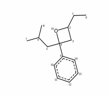 CCC1CC(CC(C)C)(c2ccccc2)O1